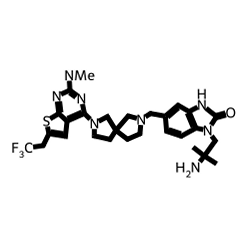 CNc1nc(N2CCC3(CCN(Cc4ccc5c(c4)[nH]c(=O)n5CC(C)(C)N)C3)C2)c2cc(CC(F)(F)F)sc2n1